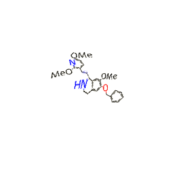 COc1ccc(/C=C/C2NCCc3cc(OCc4ccccc4)c(OC)cc32)c(OC)n1